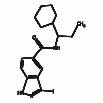 CCC(NC(=O)c1ccc2[nH]nc(I)c2c1)C1CCCCC1